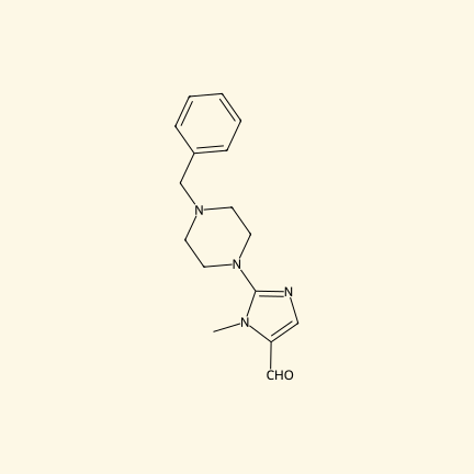 Cn1c(C=O)cnc1N1CCN(Cc2ccccc2)CC1